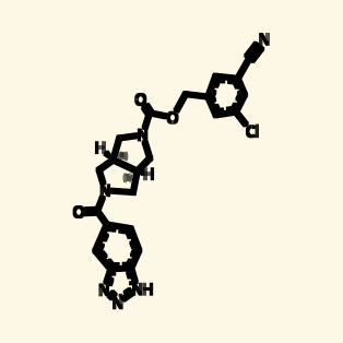 N#Cc1cc(Cl)cc(COC(=O)N2C[C@@H]3CN(C(=O)c4ccc5[nH]nnc5c4)C[C@@H]3C2)c1